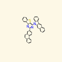 c1ccc2cc3c(cc2c1)c1ccccc1n3-c1nc(-c2ccc3c(ccc4ccccc43)c2)nc2c1sc1ccccc12